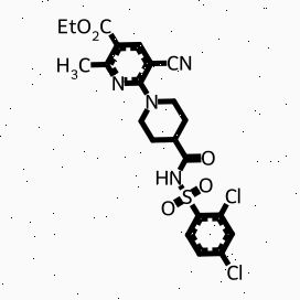 CCOC(=O)c1cc(C#N)c(N2CCC(C(=O)NS(=O)(=O)c3ccc(Cl)cc3Cl)CC2)nc1C